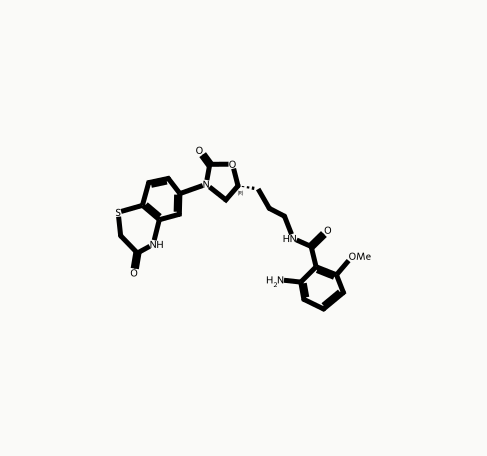 COc1cccc(N)c1C(=O)NCCC[C@@H]1CN(c2ccc3c(c2)NC(=O)CS3)C(=O)O1